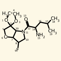 COC1(OC)COC2C(F)CN(C(=O)C(N)CC(C)C)C21